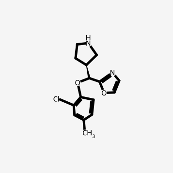 Cc1ccc(OC(c2ncco2)[C@H]2CCNC2)c(Cl)c1